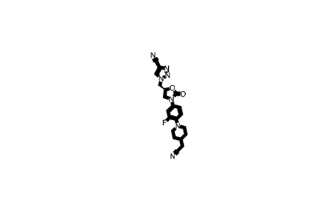 N#CCC1CCN(c2ccc(N3C[C@@H](Cn4cc(C#N)nn4)OC3=O)cc2F)CC1